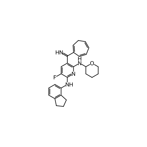 N=C(C1=CCC=CC=C1)c1cc(F)c(Nc2cccc3c2CCC3)nc1NC1CCCCO1